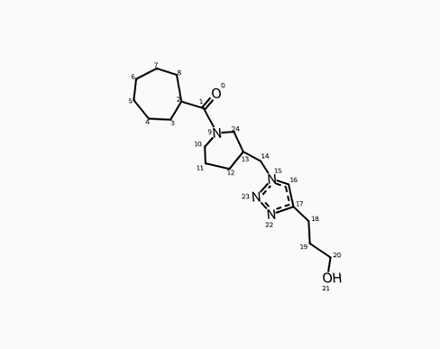 O=C(C1CCCCCC1)N1CCCC(Cn2cc(CCCO)nn2)C1